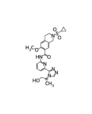 COc1cc2c(cc1C(=O)Nc1cccc(-c3nncn3[C@H](C)CO)n1)CN(S(=O)(=O)C1CC1)CC2